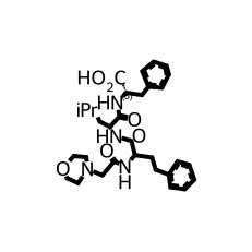 CC(C)CC(NC(=O)C(CCc1ccccc1)NC(=O)CN1CCOCC1)C(=O)N[C@@H](Cc1ccccc1)C(=O)O